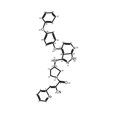 N#CC(=Cc1ccccn1)C(=O)N1CC[C@@H](Nc2n[nH]c3nccc(Oc4ccc(Oc5ccccc5)cc4)c23)C1